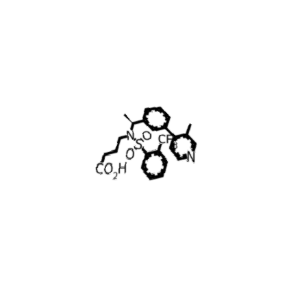 Cc1cnccc1-c1cccc([C@H](C)N(CCCC(=O)O)S(=O)(=O)c2ccccc2C(F)(F)F)c1